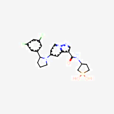 O=C(NC1CCS(O)(O)C1)c1cnn2ccc(N3CCCC3c3cc(F)cc(F)c3)cc12